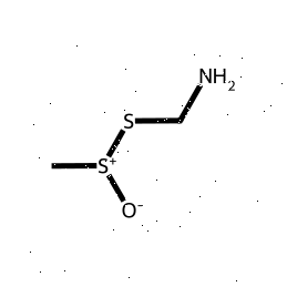 C[S+]([O-])SCN